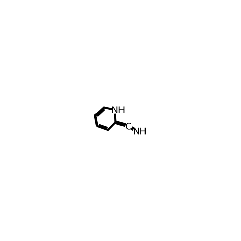 N=C=C1C=CC=CN1